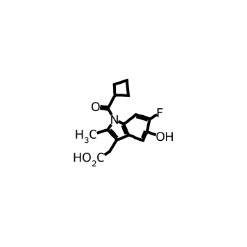 Cc1c(CC(=O)O)c2cc(O)c(F)cc2n1C(=O)C1CCC1